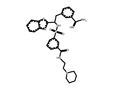 N=C(N)c1cccc(CC(NS(=O)(=O)c2cccc(C(=O)NCCN3CCCCC3)c2)c2nc3ccccc3s2)c1